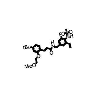 C=Cc1cc(CNC(=O)/C=C/c2ccc(C(C)(C)C)cc2OCCOC)cc(F)c1NS(C)(=O)=O